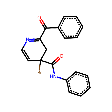 O=C(C1=NC=CC(Br)(C(=O)Nc2ccccc2)C1)c1ccccc1